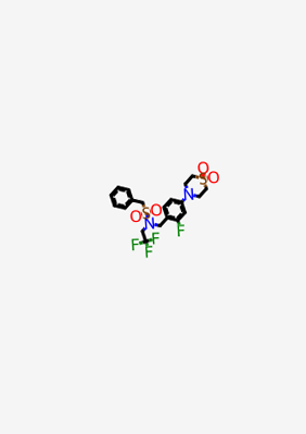 O=S1(=O)CCN(c2ccc(CN(CC(F)(F)F)S(=O)(=O)Cc3ccccc3)c(F)c2)CC1